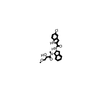 COC[C@H](O)C(=O)N(C)[C@H]1c2ccccc2C[C@H]1NC(=O)c1cc2cc(Cl)ccc2[nH]1